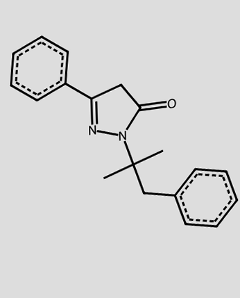 CC(C)(Cc1ccccc1)N1N=C(c2ccccc2)CC1=O